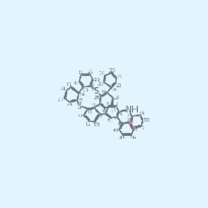 c1ccc(Nc2ccc(-c3cccc4c3-c3cccc(-c5ccccc5)c3Sc3ccccc3-c3ccccc3S4)cc2-c2ccccc2)cc1